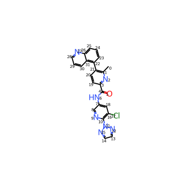 Cc1nc(C(=O)Nc2cnc(-n3nccn3)c(Cl)c2)ccc1-c1cccc2ncccc12